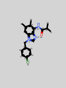 Cc1cc2c(ncn2Cc2ccc(Cl)cc2)c(NC(=O)C(C)C)c1C